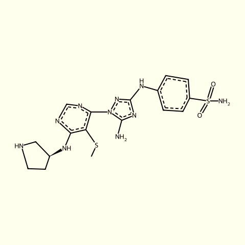 CSc1c(N[C@H]2CCNC2)ncnc1-n1nc(Nc2ccc(S(N)(=O)=O)cc2)nc1N